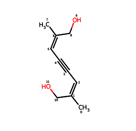 CC(=CC#CC=C(C)CO)CO